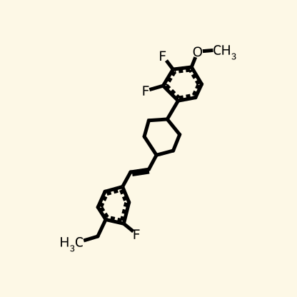 CCc1ccc(/C=C/C2CCC(c3ccc(OC)c(F)c3F)CC2)cc1F